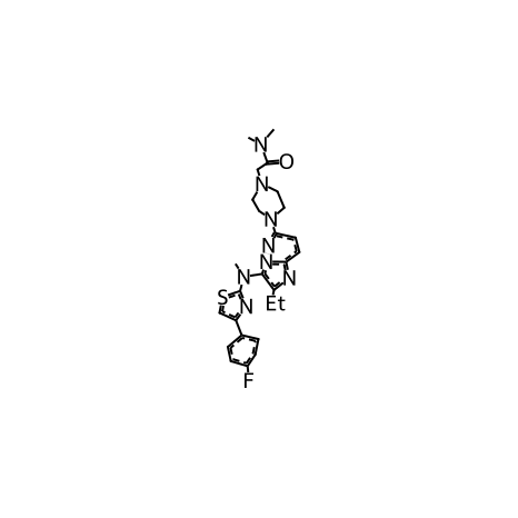 CCc1nc2ccc(N3CCN(CC(=O)N(C)C)CC3)nn2c1N(C)c1nc(-c2ccc(F)cc2)cs1